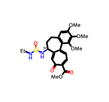 CCN[S+]([O-])N[C@H]1CCc2cc(OC)c(OC)c(OC)c2-c2ccc(C(=O)OC)c(=O)cc21